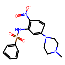 CN1CCN(c2ccc([N+](=O)[O-])c(NS(=O)(=O)c3ccccc3)c2)CC1